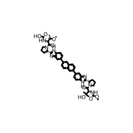 COC(=O)N[C@H](C(=O)N1CCC[C@H]1c1nc2cc(-c3ccc4cc(-c5ccc6[nH]c([C@@H]7CCCN7C(=O)[C@@H](NC(=O)O)[C@@H](C)OC)nc6c5)ccc4c3)ccc2[nH]1)C(C)(C)O